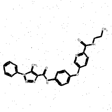 CCCNC(=O)c1ccc(Oc2ccc(NC(=O)c3nnn(-c4ccccc4)c3C)cc2)cn1